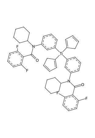 O=C(c1c(F)cccc1F)N(c1ccc[c]([Ti]([C]2=CC=CC2)([C]2=CC=CC2)[c]2cccc(N(C(=O)c3c(F)cccc3F)C3CCCCC3)c2)c1)C1CCCCC1